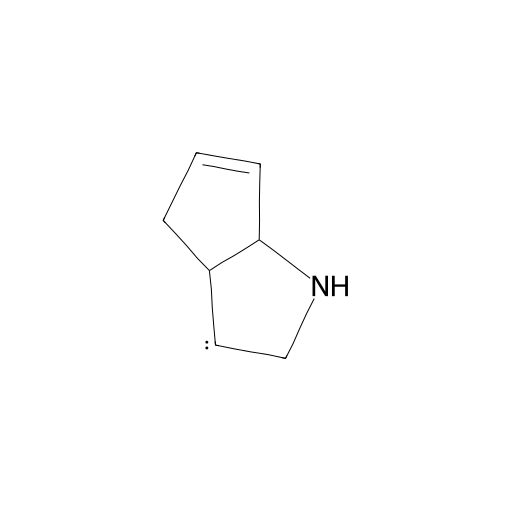 [C]1CNC2C=CCC12